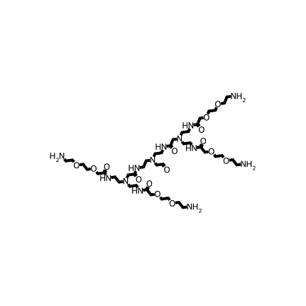 NCCOCCOCC(=O)NCCN(CCNC(=O)COCCOCCN)CC(=O)NCCN(CC=O)CCNC(=O)CN(CCNC(=O)COCCOCCN)CCNC(=O)COCCOCCN